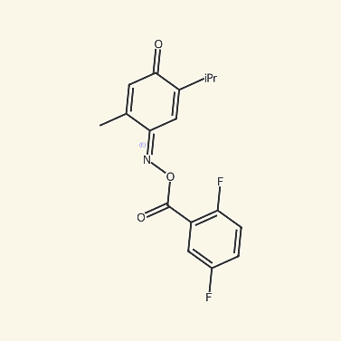 CC1=CC(=O)C(C(C)C)=C/C1=N\OC(=O)c1cc(F)ccc1F